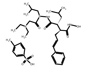 CCN(CC)CC(=O)N(CC(C)C)NC(=O)[C@H](CC(C)C)[C@H](CC=Cc1ccccc1)C(=O)NO.Cc1ccc(S(=O)(=O)O)cc1